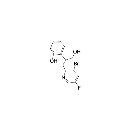 OCC(Cc1ncc(F)cc1Br)c1ccccc1O